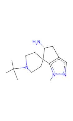 Cn1ncc2c1C1(CCN(C(C)(C)C)CC1)[C@H](N)C2